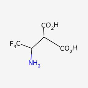 NC(C(C(=O)O)C(=O)O)C(F)(F)F